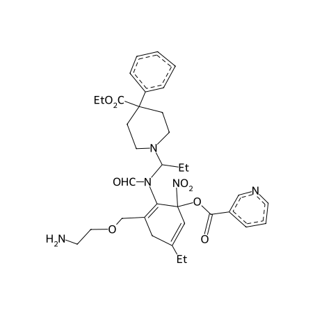 CCOC(=O)C1(c2ccccc2)CCN(C(CC)N(C=O)C2=C(COCCN)CC(CC)=CC2(OC(=O)c2cccnc2)[N+](=O)[O-])CC1